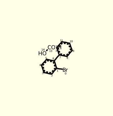 Brc1ccccc1-c1ccccc1.O=C(O)O